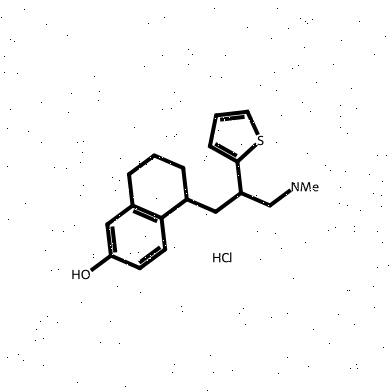 CNCC(CC1CCCc2cc(O)ccc21)c1cccs1.Cl